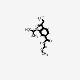 CCc1nn(C(C)C)c2cc(C(=O)NCOC)ccc12